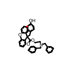 O=C(OCCN(Cc1ccccc1)Cc1ccccc1)C1(Cc2ccc(O)cc2)c2ccccc2Oc2ccccc21